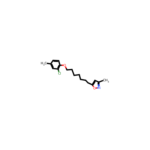 Cc1ccc(OCCCCCCCc2cc(C)no2)c(Cl)c1